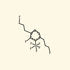 FCCCc1ccc(CCCF)c(S(F)(F)(F)(F)F)c1F